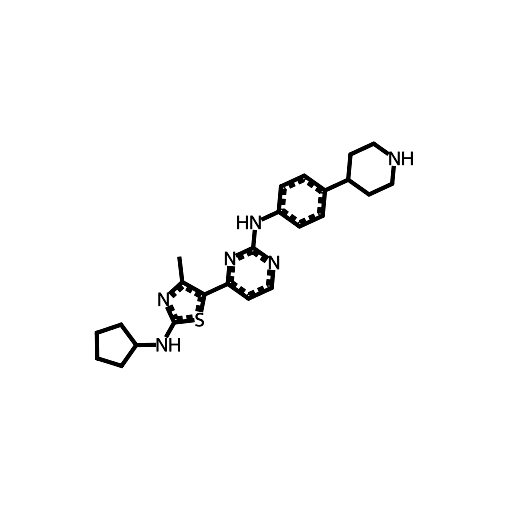 Cc1nc(NC2CCCC2)sc1-c1ccnc(Nc2ccc(C3CCNCC3)cc2)n1